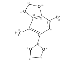 Cc1c(C2OCCO2)cc(Br)c2c1OCO2